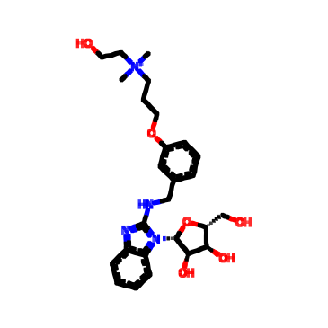 C[N+](C)(CCO)CCCOc1cccc(CNc2nc3ccccc3n2[C@@H]2O[C@H](CO)[C@@H](O)[C@H]2O)c1